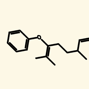 C=CC(C)CCC(Oc1ccccc1)=C(C)C